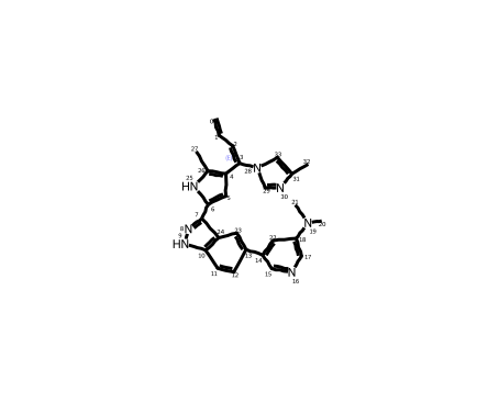 C=C/C=C(\c1cc(-c2n[nH]c3ccc(-c4cncc(N(C)C)c4)cc23)[nH]c1C)n1cnc(C)c1